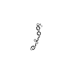 CN1CCN(C2CCN(CCCC(=O)OCCN3CCOCC3)CC2)CC1